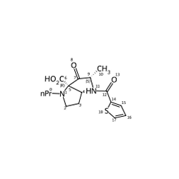 CCCN1CCC[C@]1(C(=O)O)C(=O)[C@H](C)NC(=O)c1cccs1